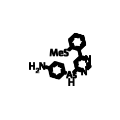 CSc1ccccc1-c1cc([AsH]c2ccc(N)cc2)ncn1